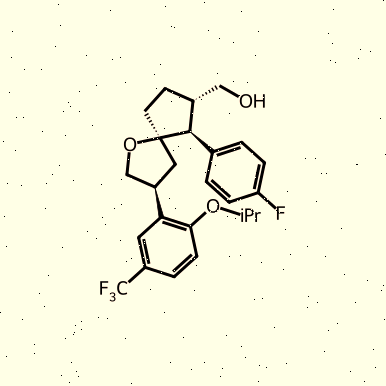 CC(C)Oc1ccc(C(F)(F)F)cc1[C@H]1CO[C@]2(CC[C@H](CO)[C@H]2c2ccc(F)cc2)C1